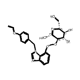 CCOc1ccc(Cn2cnc3cccc(OO[C@@H]4[C@@H](O)[C@H](O)[C@@H](CO)O[C@H]4O)c32)cc1